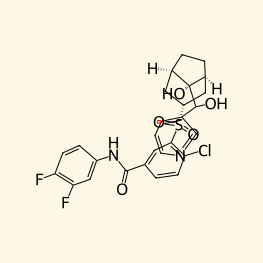 O=C(Nc1ccc(F)c(F)c1)c1ccc(Cl)c(S(=O)(=O)[C@@H]2C[C@H]3CC[C@@H](C2)[C@@]3(O)C(O)c2cccnc2)c1